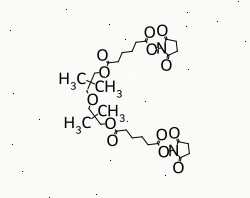 CC(C)(COCC(C)(C)COC(=O)CCCCC(=O)ON1C(=O)CCC1=O)COC(=O)CCCCC(=O)ON1C(=O)CCC1=O